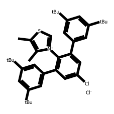 Cc1sc[n+](-c2c(-c3cc(C(C)(C)C)cc(C(C)(C)C)c3)cc(Cl)cc2-c2cc(C(C)(C)C)cc(C(C)(C)C)c2)c1C.[Cl-]